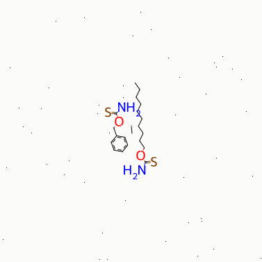 CC.CCCCCCCCCCOC(N)=S.NC(=S)OCc1ccccc1